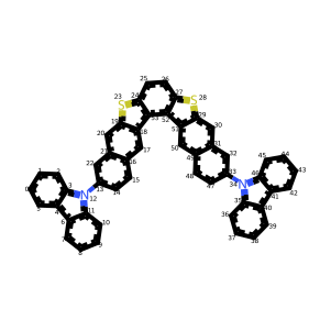 c1ccc2c(c1)c1ccccc1n2-c1ccc2cc3c(cc2c1)sc1ccc2sc4cc5cc(-n6c7ccccc7c7ccccc76)ccc5cc4c2c13